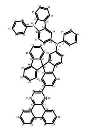 c1ccc(N(c2ccc3c(c2)C2(c4ccccc4-c4ccccc42)c2cc(-c4cnc5c6ccccc6c6ccccc6c5n4)ccc2-3)c2ccc3c(c2)c2ccccc2n3-c2ccccc2)cc1